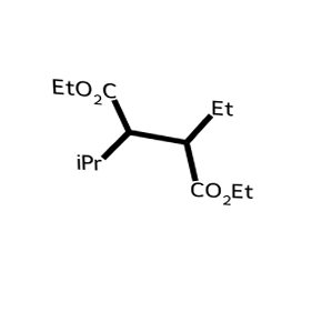 CCOC(=O)C(CC)C(C(=O)OCC)C(C)C